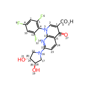 O=C(O)c1cn(-c2c(F)cc(F)cc2F)c2nc(N3C[C@@H](O)[C@H](O)C3)ccc2c1=O